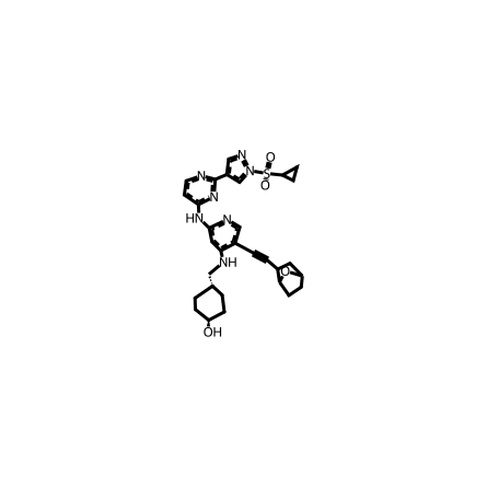 O=S(=O)(C1CC1)n1cc(-c2nccc(Nc3cc(NC[C@H]4CC[C@H](O)CC4)c(C#CC4CC5CCC4O5)cn3)n2)cn1